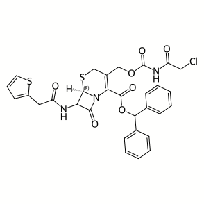 O=C(CCl)NC(=O)OCC1=C(C(=O)OC(c2ccccc2)c2ccccc2)N2C(=O)C(NC(=O)Cc3cccs3)[C@H]2SC1